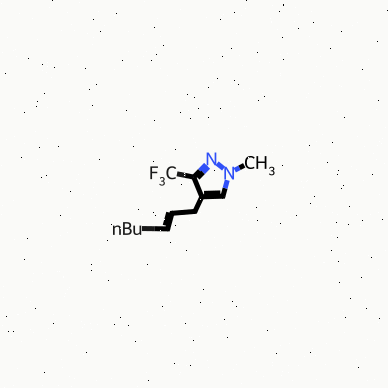 CCCC/C=C/Cc1cn(C)nc1C(F)(F)F